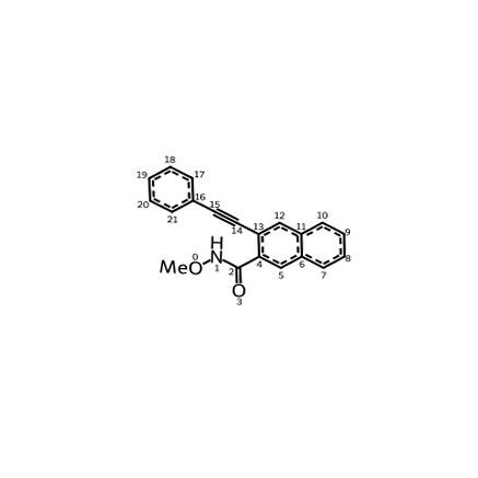 CONC(=O)c1cc2ccccc2cc1C#Cc1ccccc1